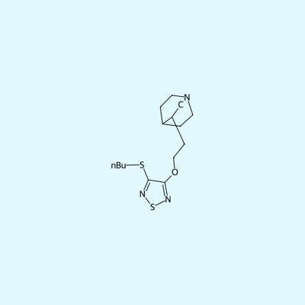 CCCCSc1nsnc1OCCC1CN2CCC1CC2